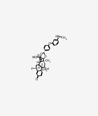 CNc1cccc(Oc2ccc([C@H]3O[C@@H]4C[C@H]5[C@@H]6C[C@H](F)C7=CC(=O)C=C[C@]7(C)[C@@]6(F)[C@@H](O)C[C@]5(C)[C@]4(C(=O)CO)O3)cc2)c1